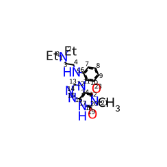 CCN(CC)CCNc1ccccc1N1CN=Nc2[nH]c(=O)n(C)c(=O)c21